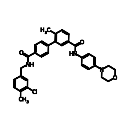 Cc1ccc(CNC(=O)c2ccc(-c3cc(C(=O)Nc4ccc(N5CCOCC5)cc4)ccc3C)cc2)cc1Cl